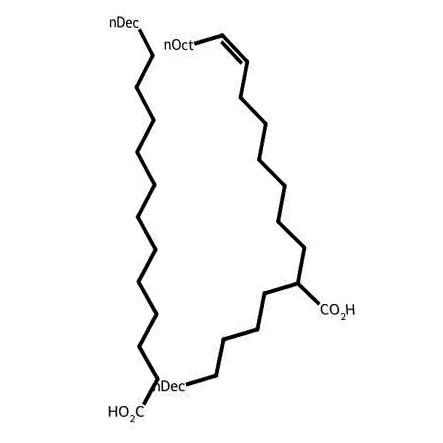 CCCCCCCC/C=C\CCCCCCC(CCCCCCCCCCCCCC)C(=O)O.CCCCCCCCCCCCCCCCCCCCCC(=O)O